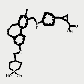 O=C(O)C1CC1c1ccc(NCc2cc3c(cc2F)CCCc2cc(OCC4CCS(O)(O)CC4)ccc2-3)cc1